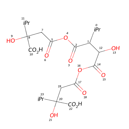 CC(C)C(C(=O)OC(=O)CC(O)(C(=O)O)C(C)C)C(O)C(=O)OC(=O)CC(O)(C(=O)O)C(C)C